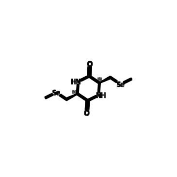 C[Se]C[C@H]1NC(=O)[C@@H](C[Se]C)NC1=O